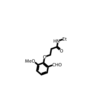 CCNC(=O)CCOc1c(C=O)cccc1OC